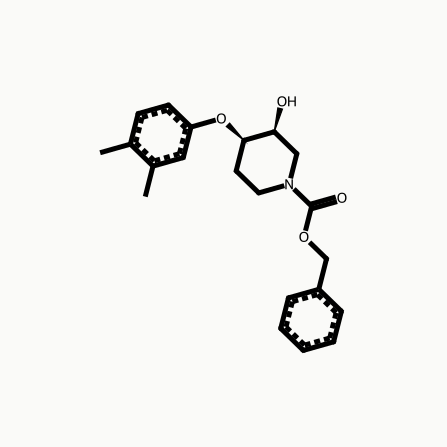 Cc1ccc(O[C@@H]2CCN(C(=O)OCc3ccccc3)C[C@@H]2O)cc1C